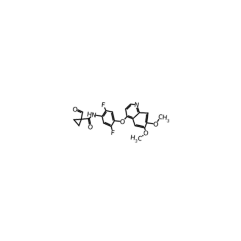 COc1cc2nccc(Oc3cc(F)c(NC(=O)C4(C=O)CC4)cc3F)c2cc1OC